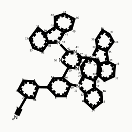 N#Cc1cccc(-c2ccc(-n3c4ccccc4c4ccccc43)c(-c3nc(-n4c5ccccc5c5ccccc54)nc(-n4c5ccccc5c5ccccc54)n3)c2)c1